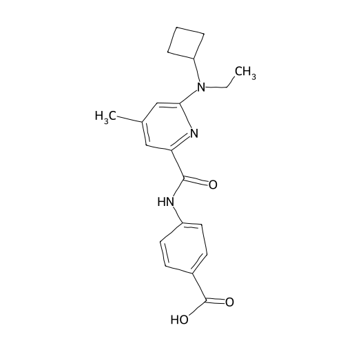 CCN(c1cc(C)cc(C(=O)Nc2ccc(C(=O)O)cc2)n1)C1CCC1